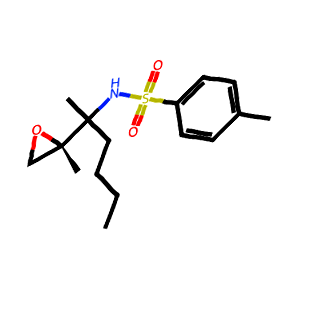 CCCCC(C)(NS(=O)(=O)c1ccc(C)cc1)[C@]1(C)CO1